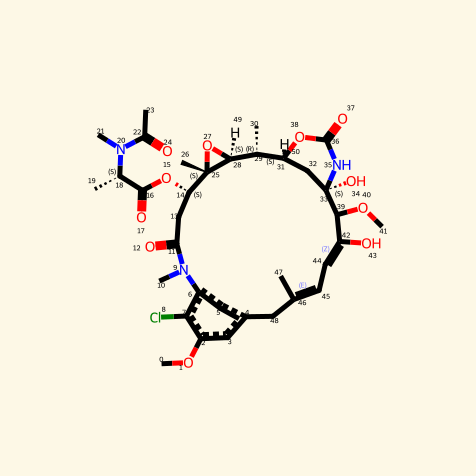 COc1cc2cc(c1Cl)N(C)C(=O)C[C@H](OC(=O)[C@H](C)N(C)C(C)=O)[C@]1(C)O[C@H]1[C@H](C)[C@@H]1C[C@@](O)(NC(=O)O1)C(OC)/C(O)=C/C=C(\C)C2